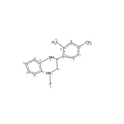 Cc1ccc(C(CNF)Nc2ccccc2)c(C)c1